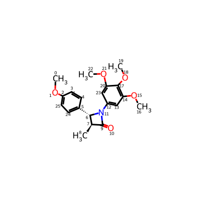 COc1[c]cc([C@H]2[C@H](C)C(=O)N2c2cc(OC)c(OC)c(OC)c2)cc1